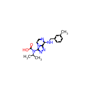 Cc1cccc(CNc2nccn3c(N(C(=O)O)C(C)C)nnc23)c1